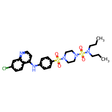 CCCN(CCC)S(=O)(=O)N1CCN(S(=O)(=O)c2ccc(Nc3ccnc4cc(Cl)ccc34)cc2)CC1